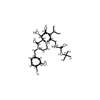 CC(C)c1c(CNC(=O)OC(C)(C)C)n2c(c(O)c1=O)C(=O)N(Cc1ccc(F)c(Cl)c1)CC2